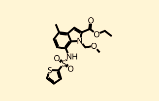 CCOC(=O)c1cc2c(C)ccc(NS(=O)(=O)c3cccs3)c2n1COC